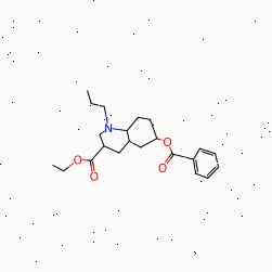 CCCN1CC(C(=O)OCC)CC2CC(OC(=O)c3ccccc3)CCC21